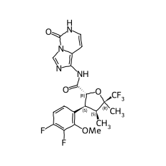 COc1c([C@H]2[C@H](C(=O)Nc3ncn4c(=O)[nH]ccc34)O[C@@](C)(C(F)(F)F)[C@H]2C)ccc(F)c1F